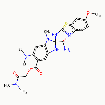 CCN(CC)c1cc2c(cc1C(=O)OCC(=O)N(C)C)NC(Nc1nc3ccc(OC(F)(F)F)cc3s1)(C(N)=O)N2C